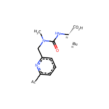 CC[C@H](C)[C@H](NC(=O)N(C)Cc1cccc(C(C)=O)n1)C(=O)O